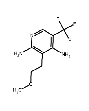 COCCc1c(N)ncc(C(F)(F)F)c1N